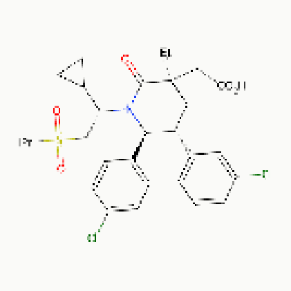 CC[C@]1(CC(=O)O)C[C@H](c2cccc(Cl)c2)[C@@H](c2ccc(Cl)cc2)N([C@H](CS(=O)(=O)C(C)C)C2CC2)C1=O